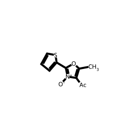 CC(=O)c1c(C)oc(-c2cccs2)[n+]1[O-]